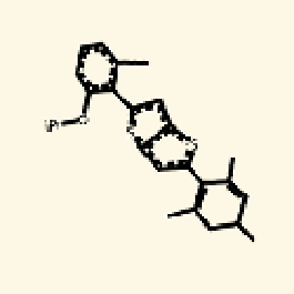 CC1=CC(C)CC(C)=C1c1cc2sc(-c3c(C)cccc3OC(C)C)cc2s1